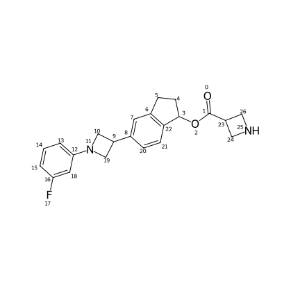 O=C(OC1CCc2cc(C3CN(c4cccc(F)c4)C3)ccc21)C1CNC1